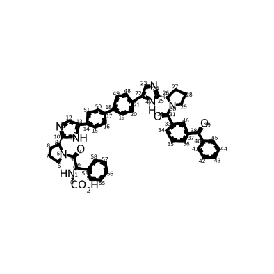 O=C(O)N[C@@H](C(=O)N1CCC[C@H]1c1ncc(-c2ccc(-c3ccc(-c4cnc([C@@H]5CCCN5C(=O)c5cccc(C(=O)c6ccccc6)c5)[nH]4)cc3)cc2)[nH]1)c1ccccc1